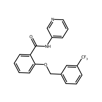 O=C(Nc1cccnc1)c1ccccc1OCc1cccc(C(F)(F)F)c1